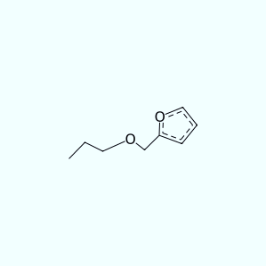 CCCOCc1ccco1